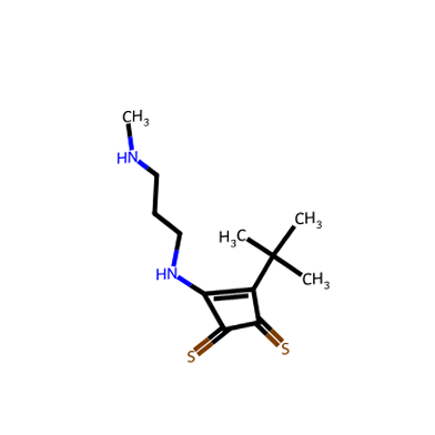 CNCCCNc1c(C(C)(C)C)c(=S)c1=S